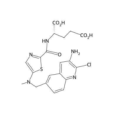 CN(Cc1ccc2nc(Cl)c(N)cc2c1)c1cnc(C(=O)N[C@@H](CCC(=O)O)C(=O)O)s1